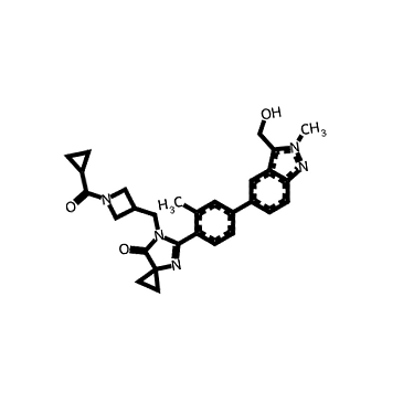 Cc1cc(-c2ccc3nn(C)c(CO)c3c2)ccc1C1=NC2(CC2)C(=O)N1CC1CN(C(=O)C2CC2)C1